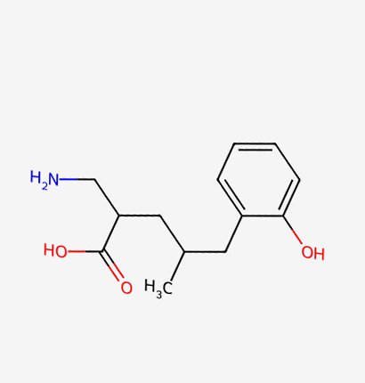 CC(Cc1ccccc1O)CC(CN)C(=O)O